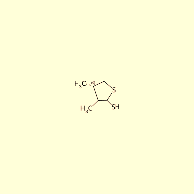 CC1C(S)SC[C@H]1C